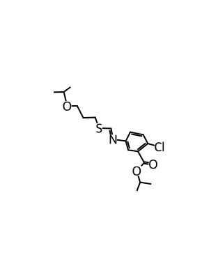 CC(C)OCCCSC=Nc1ccc(Cl)c(C(=O)OC(C)C)c1